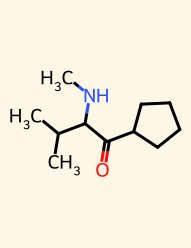 CNC(C(=O)C1CCCC1)C(C)C